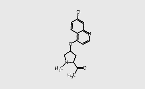 CC(=O)C1CC(Oc2ccnc3cc(Cl)ccc23)CN1C